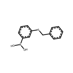 OB(O)c1cccc(SCc2ccccc2)c1